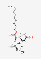 CCCCCCCCCCCCCCCCCCOC(=O)C(C)c1ccc(O)cc1-c1cc(C(C)(C)C)cc(C(C)(C)C)c1